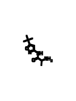 CC(N)C(=O)Nc1cc(C(C)(C)C)on1